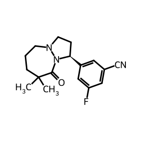 CC1(C)CCCN2CC[C@@H](c3cc(F)cc(C#N)c3)N2C1=O